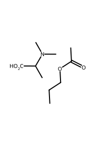 CC(C(=O)O)N(C)C.CCCOC(C)=O